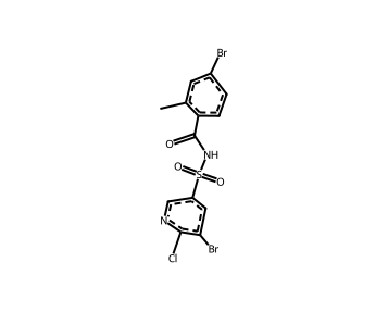 Cc1cc(Br)ccc1C(=O)NS(=O)(=O)c1cnc(Cl)c(Br)c1